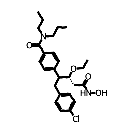 CCCN(CCC)C(=O)c1ccc(C(Cc2ccc(Cl)cc2)[C@@H](CC(=O)NO)OCC)cc1